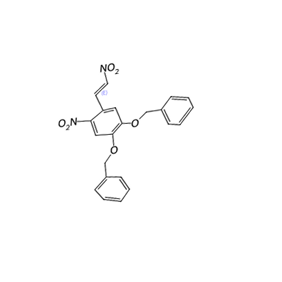 O=[N+]([O-])/C=C/c1cc(OCc2ccccc2)c(OCc2ccccc2)cc1[N+](=O)[O-]